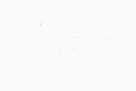 CNC(=O)[C@H]1O[C@@H](n2cnc3c(NCc4cc(Cl)ccc4OCC(=O)N(C)C)ncnc32)[C@H](O)[C@@H]1N